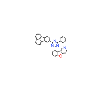 c1ccc(-c2nc(-c3ccc4c(c3)-c3cccc5cccc-4c35)nc(-c3cccc4oc5ccncc5c34)n2)cc1